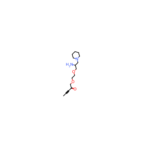 CC#CC(=O)COCCOCC(N)CN1CCCCC1